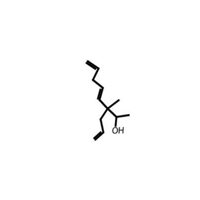 C=CCC=CC(C)(CC=C)C(C)O